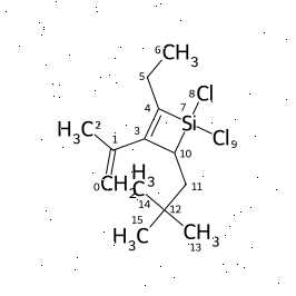 C=C(C)C1=C(CC)[Si](Cl)(Cl)C1CC(C)(C)C